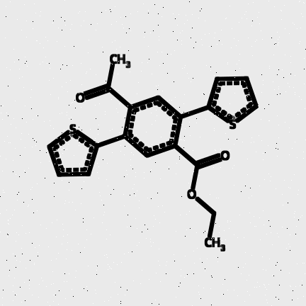 CCOC(=O)c1cc(-c2cccs2)c(C(C)=O)cc1-c1cccs1